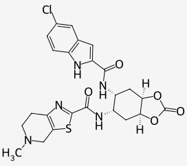 CN1CCc2nc(C(=O)N[C@H]3C[C@@H]4OC(=O)O[C@@H]4C[C@H]3NC(=O)c3cc4cc(Cl)ccc4[nH]3)sc2C1